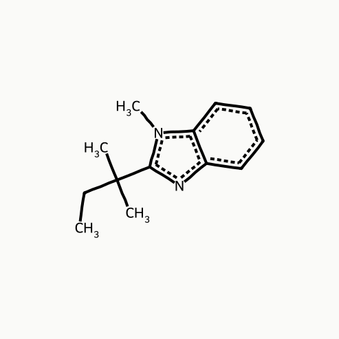 CCC(C)(C)c1nc2ccccc2n1C